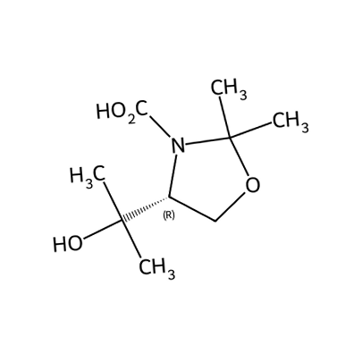 CC(C)(O)[C@H]1COC(C)(C)N1C(=O)O